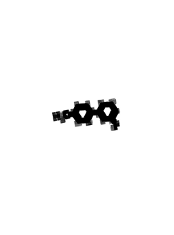 Cc1ccc(C2=CC(F)=CC[CH]2)cc1